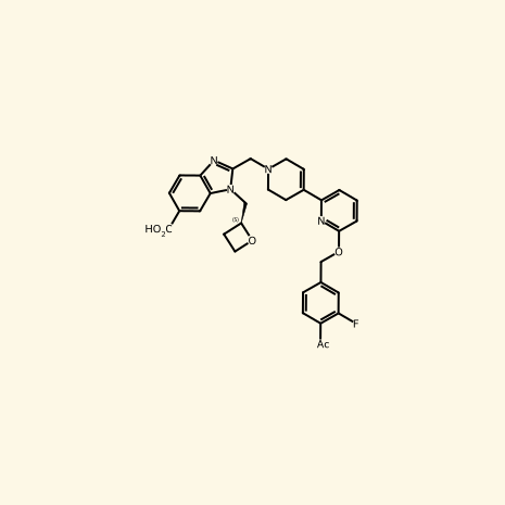 CC(=O)c1ccc(COc2cccc(C3=CCN(Cc4nc5ccc(C(=O)O)cc5n4C[C@@H]4CCO4)CC3)n2)cc1F